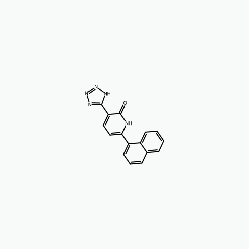 O=c1[nH]c(-c2cccc3ccccc23)ccc1-c1nnn[nH]1